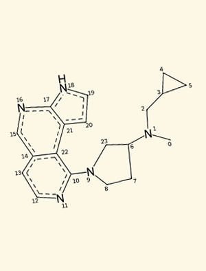 CN(CC1CC1)C1CCN(c2nccc3cnc4[nH]ccc4c23)C1